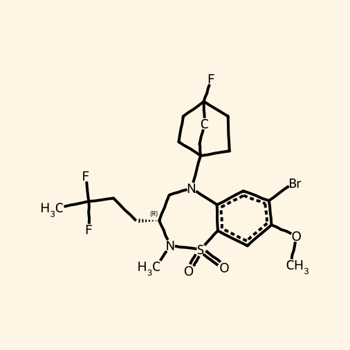 COc1cc2c(cc1Br)N(C13CCC(F)(CC1)CC3)C[C@@H](CCC(C)(F)F)N(C)S2(=O)=O